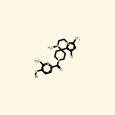 Cc1nc(C(=O)N2CCC3(CC2)c2c(Cl)cc(C(F)(F)F)n2CCN3C)ccc1OC(C)C